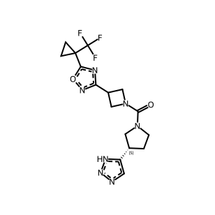 O=C(N1CC(c2noc(C3(C(F)(F)F)CC3)n2)C1)N1CC[C@H](c2cnn[nH]2)C1